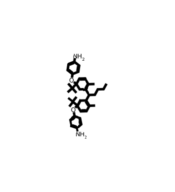 CCCCC(C1=C(C)C=CC(Oc2ccc(N)cc2)(C(C)(C)C)C1)C1=C(C)C=CC(Oc2ccc(N)cc2)(C(C)(C)C)C1